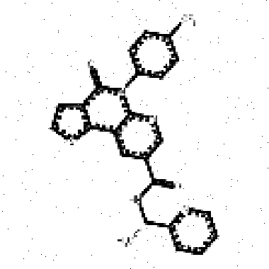 C[C@H](NC(=O)c1cnc2c(c1)c1sccc1c(=O)n2-c1ccc(C(F)(F)F)cc1)c1ccccn1